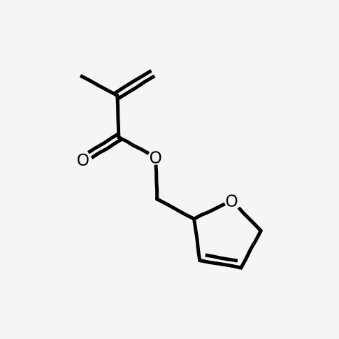 C=C(C)C(=O)OCC1C=CCO1